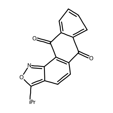 CC(C)c1onc2c3c(ccc12)C(=O)c1ccccc1C3=O